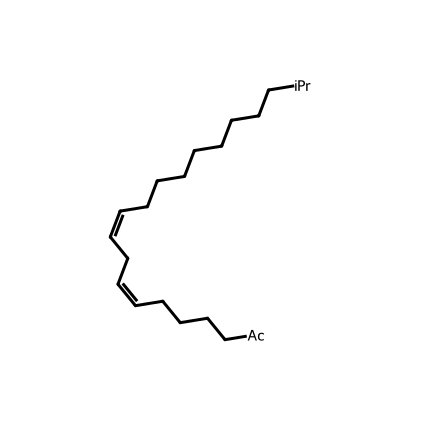 CC(=O)CCCC/C=C\C/C=C\CCCCCCCCC(C)C